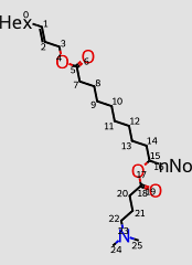 CCCCCCC=CCOC(=O)CCCCCCCCC(CCCCCCCCC)OC(=O)CCCN(C)C